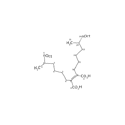 CCCCCCCCC(C)CCCC/C(C(=O)O)=C(\CCCCC(C)CCCCCCCC)C(=O)O